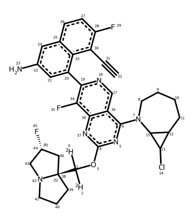 [2H]C([2H])(Oc1nc(N2CCCCC3C(Cl)C32)c2cnc(-c3cc(N)cc4ccc(F)c(C#C)c34)c(F)c2n1)[C@@]12CCCN1C[C@H](F)C2